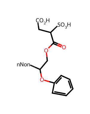 CCCCCCCCCC(COC(=O)C(CC(=O)O)S(=O)(=O)O)Oc1ccccc1